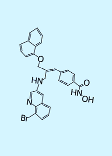 O=C(NO)c1ccc(/C=C(\CNc2cnc3c(Br)cccc3c2)COc2cccc3ccccc23)cc1